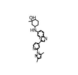 Cc1cc(C)n(-c2cc(-c3cnc4ccc(NC5CCCC(C)(O)C5)cn34)ccn2)n1